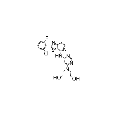 OCCN(CCO)c1cc(Nc2nccc3nc(-c4c(F)cccc4Cl)sc23)ncn1